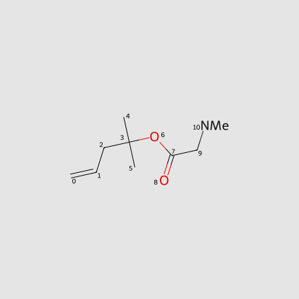 C=CCC(C)(C)OC(=O)CNC